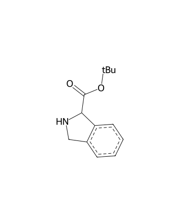 CC(C)(C)OC(=O)C1NCc2ccccc21